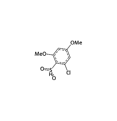 COc1cc(Cl)c([SH](=O)=O)c(OC)c1